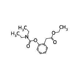 CCOC(=O)Cc1ccccc1OC(=O)N(CC)CC